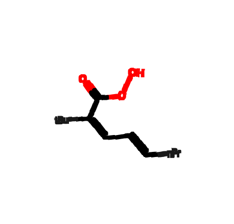 CCCC=CC=C(C(=O)OO)C(C)(C)C